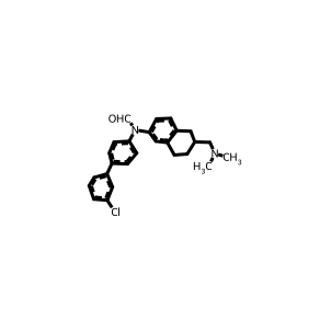 CN(C)CC1CCc2cc(N(C=O)c3ccc(-c4cccc(Cl)c4)cc3)ccc2C1